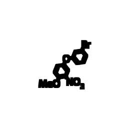 COc1ccc(Oc2cccc(Br)c2)cc1[N+](=O)[O-]